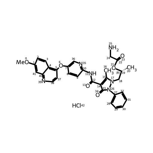 COc1ccc2c(Oc3ccc(NC(=O)c4c(C)n(C[C@@H](C)OC(=O)CN)n(-c5ccccc5)c4=O)nc3)ccnc2c1.Cl